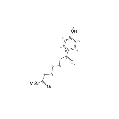 CNC(=O)CCCCCC(=O)c1ccc(O)cc1